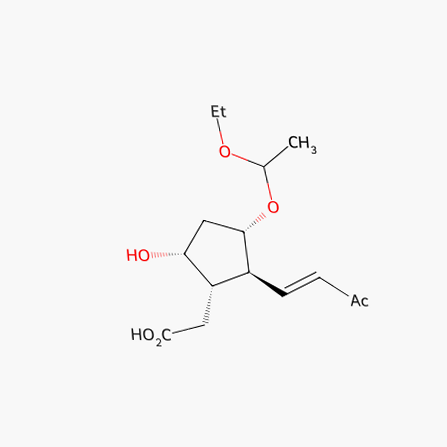 CCOC(C)O[C@H]1C[C@@H](O)[C@@H](CC(=O)O)[C@@H]1C=CC(C)=O